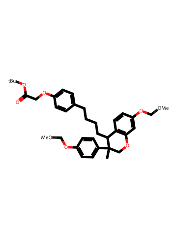 COCOc1ccc(C2(C)COc3cc(OCOC)ccc3C2CCCCc2ccc(OCC(=O)OC(C)(C)C)cc2)cc1